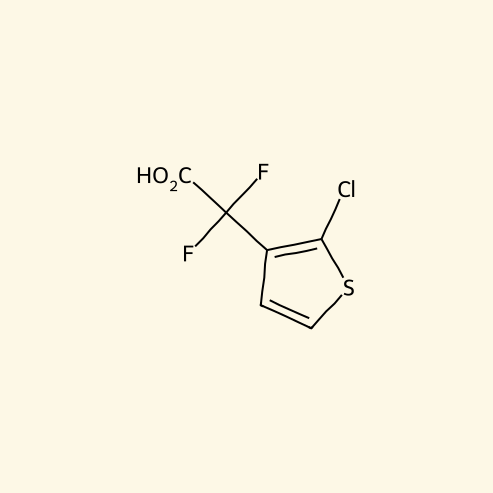 O=C(O)C(F)(F)c1ccsc1Cl